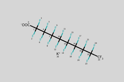 O=C([O-])C(F)(F)C(F)(F)C(F)(F)C(F)(F)C(F)(F)C(F)(F)C(F)(F)C(F)(F)C(F)(F)F.[K+]